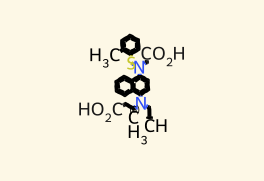 C#CCN(c1ccc(N(CC(=O)O)Sc2ccccc2C)c2ccccc12)[C@@H](C)CC(=O)O